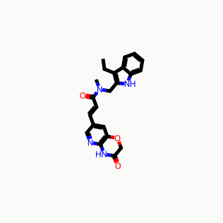 CCc1c(CN(C)C(=O)C=Cc2cnc3c(c2)OCC(=O)N3)[nH]c2ccccc12